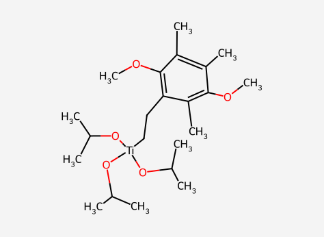 COc1c(C)c(C)c(OC)c(C[CH2][Ti]([O]C(C)C)([O]C(C)C)[O]C(C)C)c1C